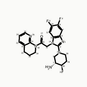 N[C@@H]1CN(c2nc3cc(F)c(F)cc3n2CC(=O)N2CCCc3cccnc32)CC[C@H]1F